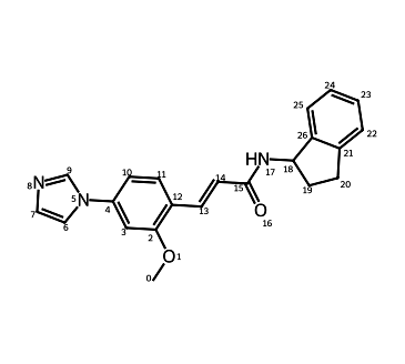 COc1cc(-n2ccnc2)ccc1/C=C/C(=O)NC1CCc2ccccc21